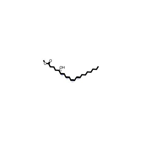 CCCCCCC/C=C/C=C\C=C\C=C\[C@@H](O)CCCC(=O)OC